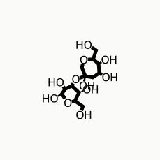 OCC1O[C@@H](O)C(O)C(O[C@]2(O)COC(CO)[C@@H](O)C(O)C2)[C@@H]1O